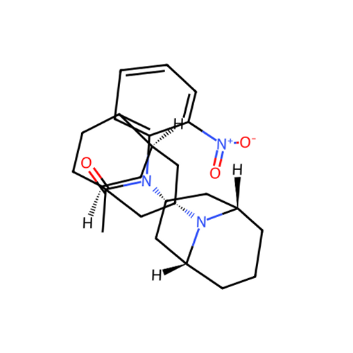 CC(=O)N(c1ccccc1[N+](=O)[O-])[C@H]1C[C@H]2CCC[C@@H](C1)N2[C@H]1C[C@@H]2CCC[C@@H](C2)C1